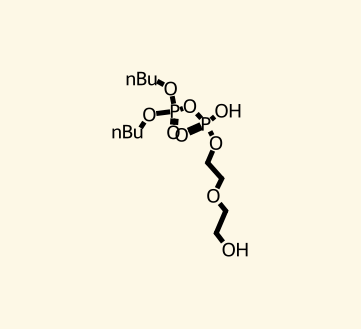 CCCCOP(=O)(OCCCC)OP(=O)(O)OCCOCCO